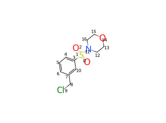 O=S(=O)(c1cccc(CCl)c1)N1CCOCC1